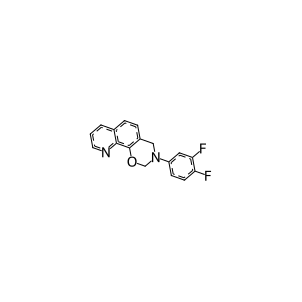 Fc1ccc(N2COc3c(ccc4cccnc34)C2)cc1F